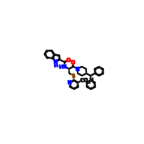 O=C(NC(CSc1ncccc1C(=O)O)C(=O)N1CCC(C(c2ccccc2)c2ccccc2)CC1)c1cc2ccccc2[nH]1